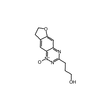 [O-][n+]1nc(CCCO)nc2cc3c(cc21)CCO3